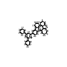 C1=Cc2sc3ccccc3c2C(n2c3ccccc3c3cc(-c4cc(-c5ccccc5)nc(-c5ccccc5)n4)ccc32)=CC1